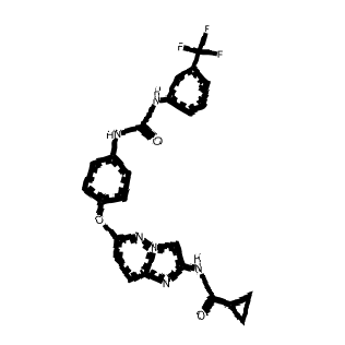 O=C(Nc1ccc(Oc2ccc3nc(NC(=O)C4CC4)cn3n2)cc1)Nc1cccc(C(F)(F)F)c1